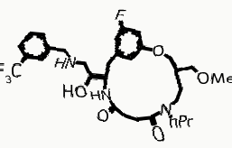 CCCN1CCC(COC)COc2cc(F)cc(c2)CC(C(O)CNCc2cccc(C(F)(F)F)c2)NC(=O)CCC1=O